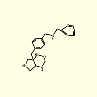 c1ccc(CNCc2ccc(CC34CNCC3NCON4)cc2)nc1